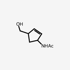 CC(=O)NC1C=CC(CO)C1